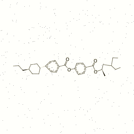 CCC[C@H]1CC[C@H](c2ccc(C(=O)Oc3ccc(C(=O)O[C@H](C)CC(CC)CC)cc3)cc2)CC1